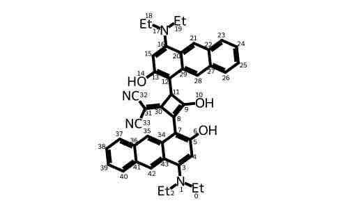 CCN(CC)c1cc(O)c(C2=C(O)C(c3c(O)cc(N(CC)CC)c4cc5ccccc5cc34)C2=C(C#N)C#N)c2cc3ccccc3cc12